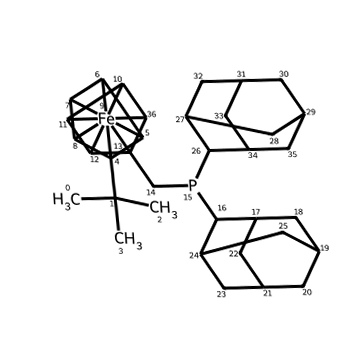 CC(C)(C)[C]12[CH]3[CH]4[CH]5[CH]1[Fe]45321678[CH]2[CH]1[CH]6[C]7(CP(C1C3CC4CC(C3)CC1C4)C1C3CC4CC(C3)CC1C4)[CH]28